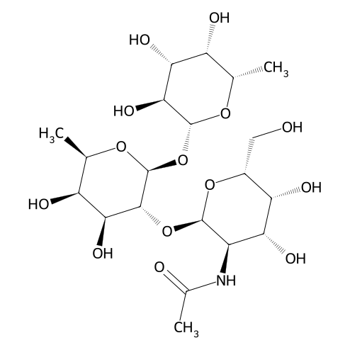 CC(=O)N[C@H]1[C@@H](O[C@H]2[C@H](O[C@H]3O[C@@H](C)[C@@H](O)[C@@H](O)[C@@H]3O)O[C@H](C)[C@H](O)[C@@H]2O)O[C@H](CO)[C@H](O)[C@@H]1O